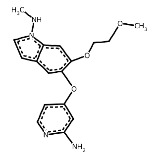 CNn1ccc2cc(Oc3ccnc(N)c3)c(OCCOC)cc21